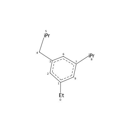 CCc1cc(CC(C)C)cc(C(C)C)c1